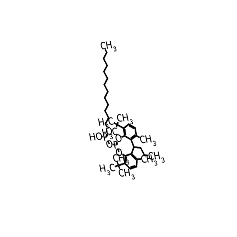 CCCCCCCCCCCCCOP(O)OP1Oc2c(C(C)(C)C)ccc(C)c2C(CCC)c2c(C)ccc(C(C)(C)C)c2O1